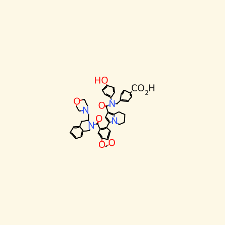 O=C(O)c1ccc(CN(C(=O)c2cc(-c3cc4c(cc3C(=O)N3Cc5ccccc5CC3CN3CCOCC3)OCO4)n3c2CCCC3)c2ccc(O)cc2)cc1